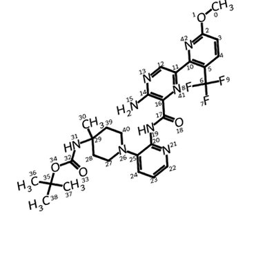 COc1ccc(C(F)(F)F)c(-c2cnc(N)c(C(=O)Nc3ncccc3N3CCC(C)(NC(=O)OC(C)(C)C)CC3)n2)n1